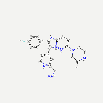 CC1CN(c2ccc3nc(-c4ccc(F)cc4)c(-c4ccnc(CN)c4)n3n2)CCN1